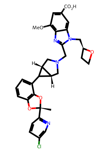 COc1cc(C(=O)O)cc2c1nc(CN1C[C@@H]3C(c4cccc5c4O[C@](C)(c4ccc(Cl)cn4)O5)[C@@H]3C1)n2C[C@@H]1CCO1